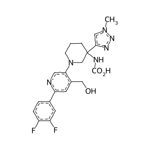 Cn1cc(C2(NC(=O)O)CCCN(c3cnc(-c4ccc(F)c(F)c4)cc3CO)C2)nn1